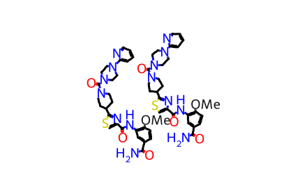 COc1ccc(C(N)=O)cc1NC(=O)c1csc(C2CCN(C(=O)N3CCN(c4ccccn4)CC3)CC2)n1.COc1ccc(C(N)=O)cc1NC(=O)c1csc(C2CCN(C(=O)N3CCN(c4ccccn4)CC3)CC2)n1